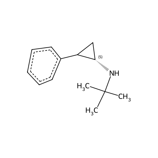 CC(C)(C)N[C@H]1CC1c1ccccc1